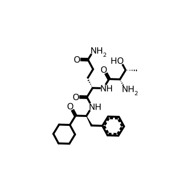 C[C@@H](O)[C@H](N)C(=O)N[C@@H](CCC(N)=O)C(=O)N[C@@H](Cc1ccccc1)C(=O)C1CCCCC1